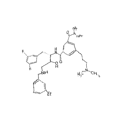 CCCN(CCC)C(=O)c1cc(CCCN(C)C)cc(C(=O)N[C@@H](Cc2cc(F)cc(F)c2)C(O)CNCc2cccc(CC)c2)c1